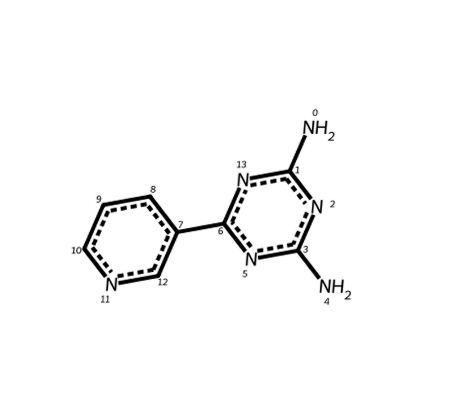 Nc1nc(N)nc(-c2cccnc2)n1